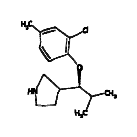 Cc1ccc(O[C@@H](C(C)C)C2CCNC2)c(Cl)c1